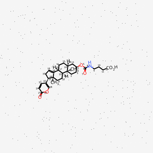 C[C@]12CC[C@H](OC(=O)NCCCC(=O)O)C[C@H]1CC[C@H]1C3=CC[C@H](c4ccc(=O)oc4)[C@@]3(C)CC[C@@H]12